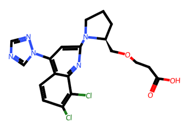 O=C(O)CCOC[C@@H]1CCCN1c1cc(-n2cncn2)c2ccc(Cl)c(Cl)c2n1